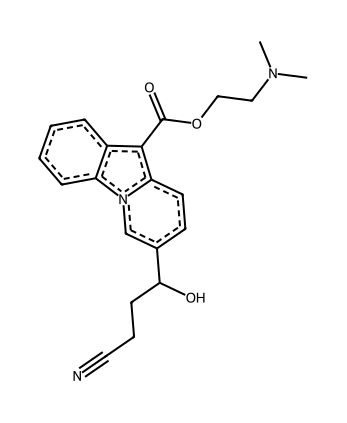 CN(C)CCOC(=O)c1c2ccccc2n2cc(C(O)CCC#N)ccc12